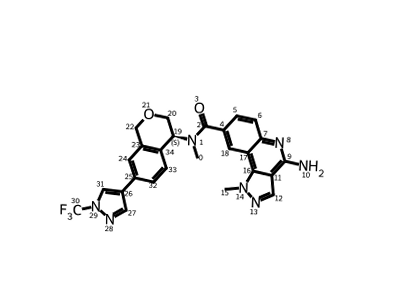 CN(C(=O)c1ccc2nc(N)c3cnn(C)c3c2c1)[C@@H]1COCc2cc(-c3cnn(C(F)(F)F)c3)ccc21